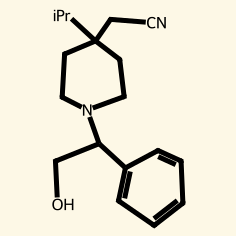 CC(C)C1(CC#N)CCN(C(CO)c2ccccc2)CC1